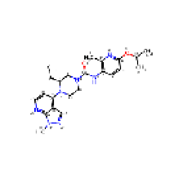 CC[C@H]1CN(C(=O)Nc2ccc(OC(C)C)nc2C)CCN1c1ccnc2c1cnn2C